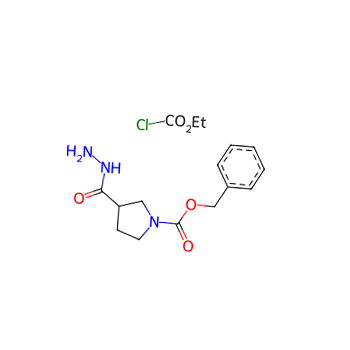 CCOC(=O)Cl.NNC(=O)C1CCN(C(=O)OCc2ccccc2)C1